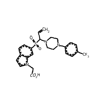 C=CC(N1CCN(c2ccc(C(F)(F)F)cc2)CC1)S(=O)(=O)c1ccc2ccn(CC(=O)O)c2c1